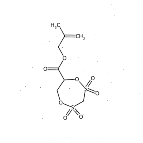 C=C(C)COC(=O)C1COS(=O)(=O)CS(=O)(=O)O1